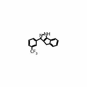 FC(F)(F)c1cccc(-c2n[nH]c3c2Cc2ccccc2-3)c1